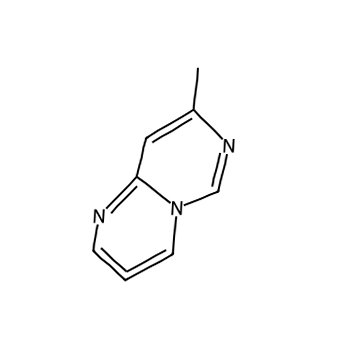 CC1=CC2=NC=C=CN2C=N1